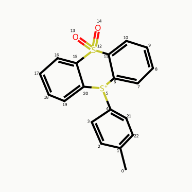 Cc1ccc([S+]2c3ccccc3S(=O)(=O)c3ccccc32)cc1